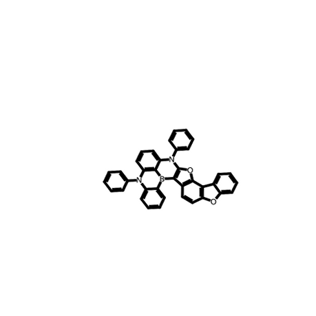 c1ccc(N2c3ccccc3B3c4c2cccc4N(c2ccccc2)c2oc4c(ccc5oc6ccccc6c54)c23)cc1